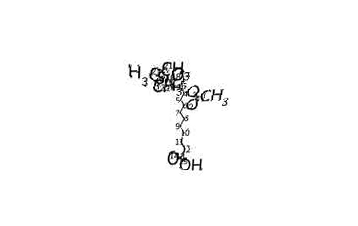 CC(=O)OC(CCCCCCCCC(=O)O)c1coc([Si](C)(C)C)c1